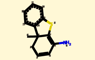 CC12CC=CC(N)=C1Sc1ccccc12